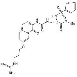 CC(C)(C)OC(=O)[C@H](CNC(=O)Nc1ccc2ccc(OCCCNC(=N)N)cn2c1=O)NS(=O)(=O)c1ccccc1